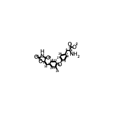 COC(=O)C(N)Cc1ccc(Oc2ccc(C=C3OC(=O)NC3=O)cc2C)cc1